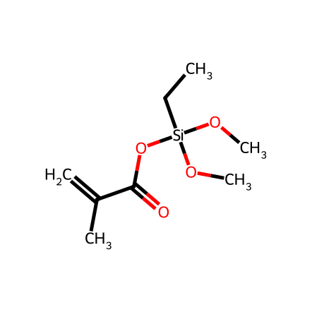 C=C(C)C(=O)O[Si](CC)(OC)OC